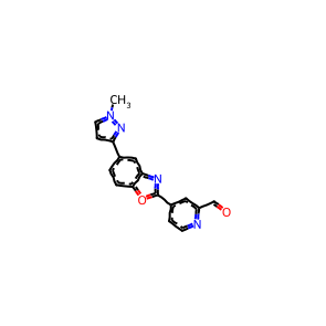 Cn1ccc(-c2ccc3oc(-c4ccnc(C=O)c4)nc3c2)n1